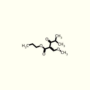 CCCOC(=O)C(=COC)C(=O)C(C)C